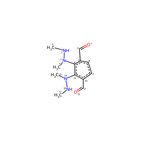 CNN(C)c1c(C=O)ccc(C=O)c1N(C)NC